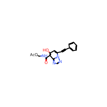 CC(=O)OCNC(=O)c1c(O)cc(C#Cc2ccccc2)n2ncnc12